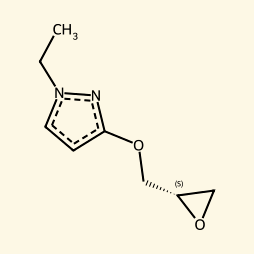 CCn1ccc(OC[C@@H]2CO2)n1